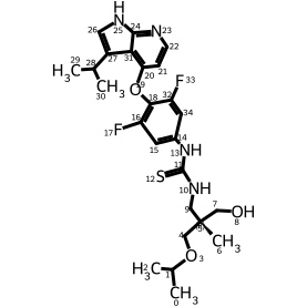 CC(C)OC[C@@](C)(CO)CNC(=S)Nc1cc(F)c(Oc2ccnc3[nH]cc(C(C)C)c23)c(F)c1